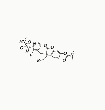 CNS(=O)(=O)Nc1nccc(Cc2c(CBr)c3ccc(OC(=O)N(C)C)cc3oc2=O)c1F